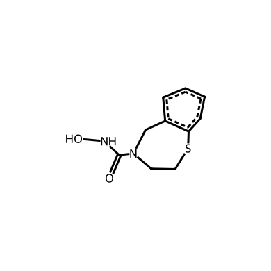 O=C(NO)N1CCSc2ccccc2C1